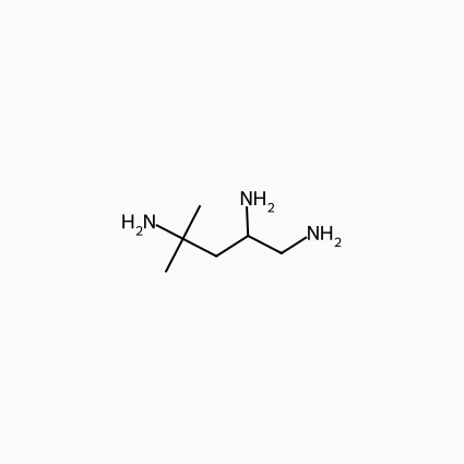 CC(C)(N)CC(N)CN